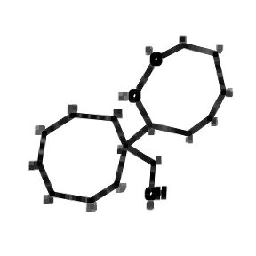 OCC1(C2CCCCCOO2)CCCCCCC1